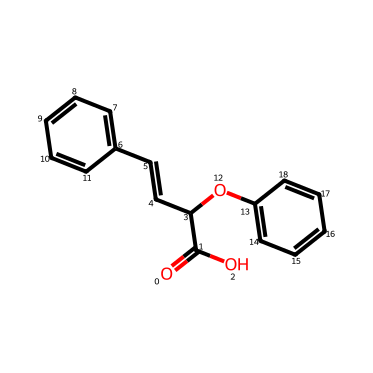 O=C(O)C(/C=C/c1ccccc1)Oc1ccccc1